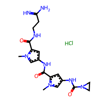 Cl.Cn1cc(NC(=O)c2cc(NC(=O)N3CC3)cn2C)cc1C(=O)NCCC(=N)N